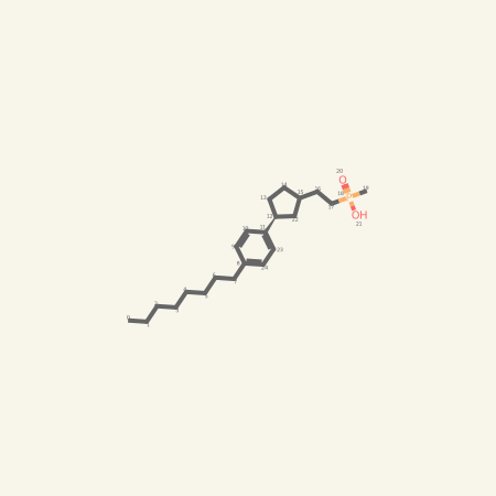 CCCCCCCCc1ccc([C@H]2CCC(CCP(C)(=O)O)C2)cc1